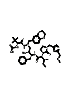 CC[C@H](C)[C@@H](C(=O)N[C@@H](Cc1ccccc1)[C@@H](O)CN(Cc1ccc2c(c1)OCCO2)NC(=O)[C@@H](NC(=O)O)C(C)(C)C)N1CCN(Cc2csc(COC)n2)C1=O